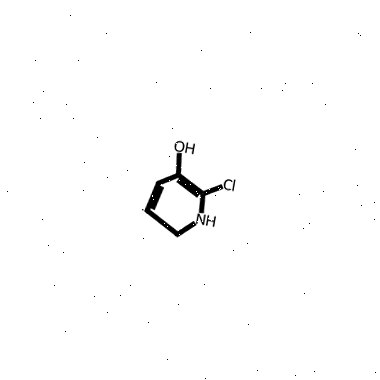 OC1=C(Cl)NC[C]=C1